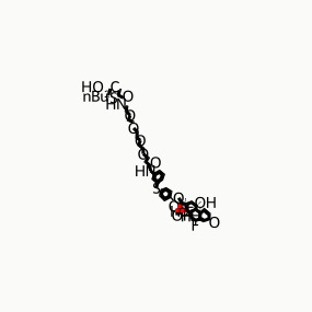 CCCCC(C)SC(CC(=O)O)C(=O)NCCOCCOCCOCCOCCC(=O)Nc1cccc(Sc2ccc([C@@H]3O[C@@H]4C[C@H]5[C@@H]6C[C@H](F)C7=CC(=O)C=C[C@]7(C)[C@@]6(F)[C@@H](O)C[C@]5(C)[C@]4(C(=O)CO)O3)cc2)c1